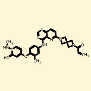 C=CC(=O)N1CC2(C1)CN(c1ccc3ncnc(Nc4ccc(Oc5ccn(NC)c(=N)c5)c(C)c4)c3n1)C2